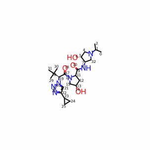 CC(C)N1C[C@@H](O)[C@H](NC(=O)C2CC(O)CN2C(=O)[C@@H](n2cc(C3CC3)nn2)C(C)(C)C)C1